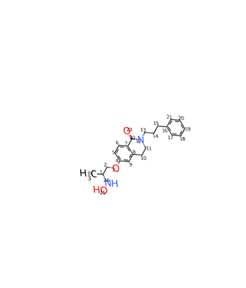 CC(COc1ccc2c(c1)CCN(CCCc1ccccc1)C2=O)NO